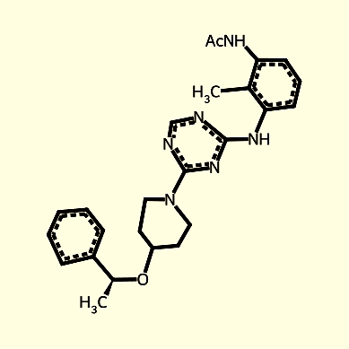 CC(=O)Nc1cccc(Nc2ncnc(N3CCC(O[C@@H](C)c4ccccc4)CC3)n2)c1C